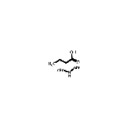 CCCC(=O)O.CCCNCCC